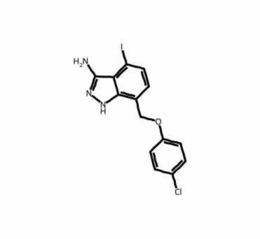 Nc1n[nH]c2c(COc3ccc(Cl)cc3)ccc(I)c12